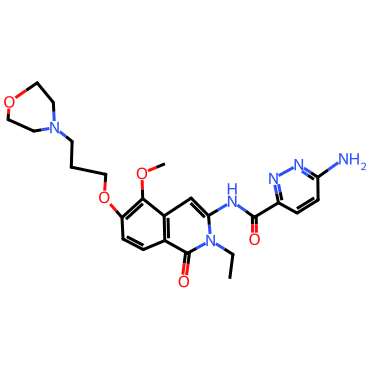 CCn1c(NC(=O)c2ccc(N)nn2)cc2c(OC)c(OCCCN3CCOCC3)ccc2c1=O